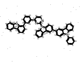 c1ccc(-n2c3ccccc3c3cc(-c4ccc5c(c4)c4ccccc4n5-c4nccc(-c5cccc(-c6cccc7c6sc6ccccc67)c5)n4)ccc32)cc1